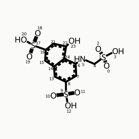 O=S(=O)(O)CNc1cc(S(=O)(=O)O)cc2cc(S(=O)(=O)O)cc(O)c12